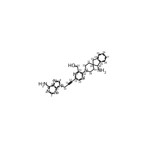 Nc1ncnc2c1ncn2CC#Cc1cnc(N2CCC3(CC2)Cc2ccccc2[C@H]3N)c(CO)n1